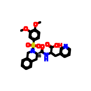 COc1ccc(S(=O)(=O)N2Cc3ccccc3C[C@H]2C(=O)NC(Cc2cccnc2)C(=O)O)cc1OC